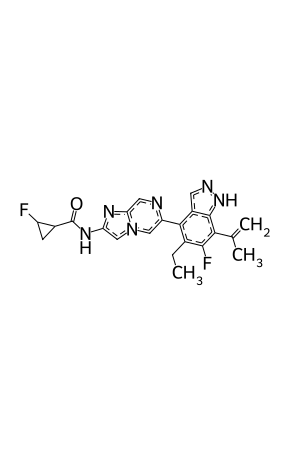 C=C(C)c1c(F)c(CC)c(-c2cn3cc(NC(=O)C4CC4F)nc3cn2)c2cn[nH]c12